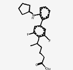 CC(CCCC(=O)O)c1c(F)cc(-c2ccccc2NC2CCCC2)cc1F